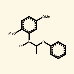 CCN(c1cc(OC)ccc1OC)C(C)Oc1ccccc1